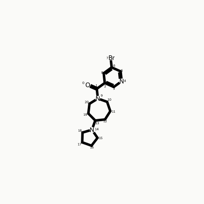 O=C(c1cncc(Br)c1)N1CCCC(N2CCCC2)CC1